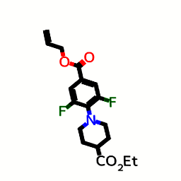 C=CCOC(=O)c1cc(F)c(N2CCC(C(=O)OCC)CC2)c(F)c1